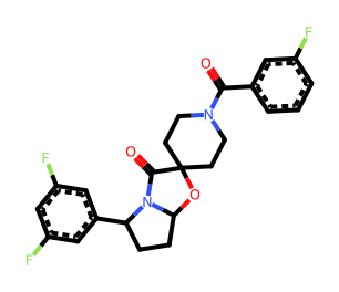 O=C(c1cccc(F)c1)N1CCC2(CC1)OC1CCC(c3cc(F)cc(F)c3)N1C2=O